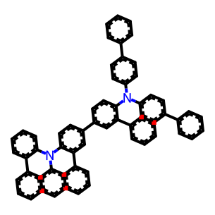 c1ccc(-c2ccc(N(c3ccc(-c4ccccc4)cc3)c3ccc(-c4ccc(N(c5ccccc5)c5ccccc5-c5ccccc5)c(-c5ccccc5)c4)cc3-c3ccccc3)cc2)cc1